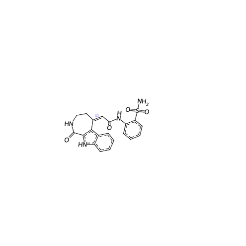 NS(=O)(=O)c1ccccc1NC(=O)/C=C1/CCNC(=O)c2[nH]c3ccccc3c21